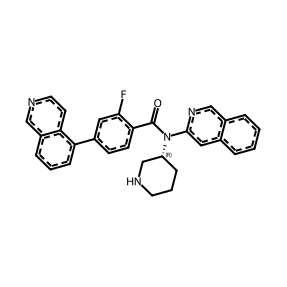 O=C(c1ccc(-c2cccc3cnccc23)cc1F)N(c1cc2ccccc2cn1)[C@@H]1CCCNC1